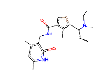 CCC(c1scc(C(=O)NCc2c(C)cc(C)[nH]c2=O)c1C)N(C)CC